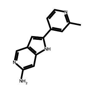 Cc1cc(-c2cc3cnc(N)cc3[nH]2)ccn1